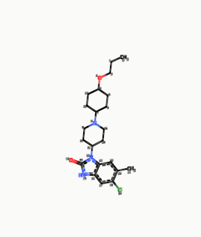 CCCOC1CCC(N2CCC(n3c(=O)[nH]c4cc(Cl)c(C)cc43)CC2)CC1